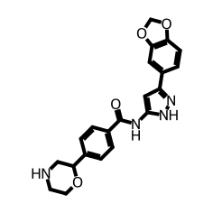 O=C(Nc1cc(-c2ccc3c(c2)OCO3)n[nH]1)c1ccc(C2CNCCO2)cc1